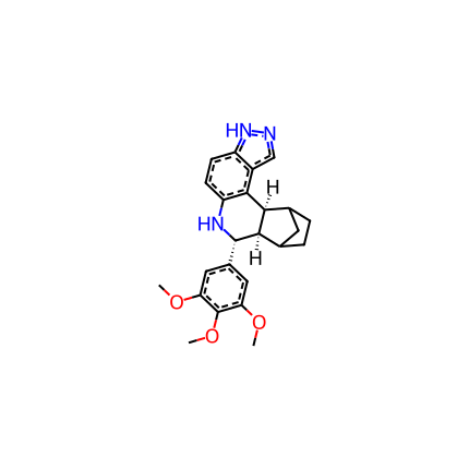 COc1cc([C@@H]2Nc3ccc4[nH]ncc4c3[C@H]3C4CCC(C4)[C@@H]23)cc(OC)c1OC